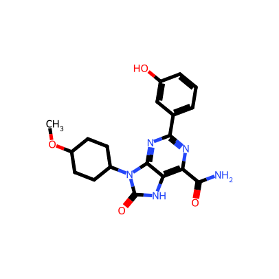 COC1CCC(n2c(=O)[nH]c3c(C(N)=O)nc(-c4cccc(O)c4)nc32)CC1